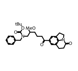 COC(CCCC(=O)c1cc2c3c(c1)CCN3C(=O)CC2)CN(Cc1ccccc1)C(=O)OC(C)(C)C